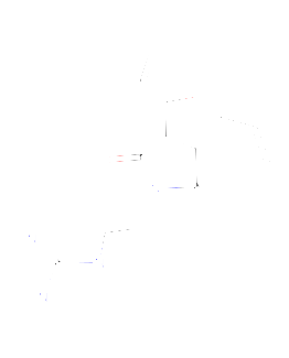 C=CC1OC(C=C)C2C(=O)N(CCNC(=N)N)C(=O)C12